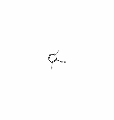 Cn1ccc(F)c1C(C)(C)C